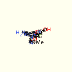 COc1cc(CN(Cc2cn3c4c(c(-c5ccc(CCO)cn5)c(F)cc4c2=O)OCC3C)[C@H]2CCCN(c3ccc(N)nc3)C2)ccn1